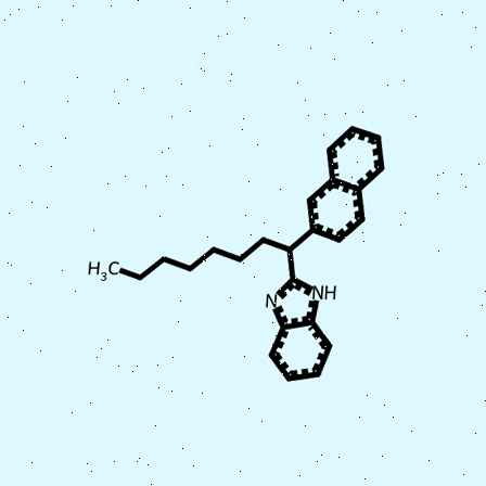 CCCCCCCC(c1ccc2ccccc2c1)c1nc2ccccc2[nH]1